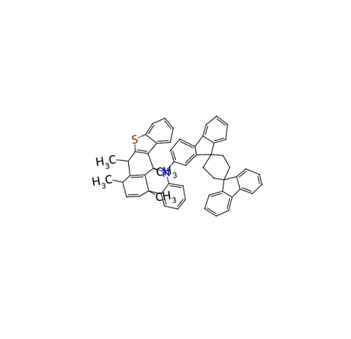 CC1C=CC2(C)C3=C1C(C)c1sc4ccccc4c1C3(C)N(c1ccc3c(c1)C1(CCC4(CC1)c1ccccc1-c1ccccc14)c1ccccc1-3)c1ccccc12